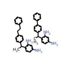 CC(c1ccc(-c2ccccc2)cc1)c1ccc(N)cc1N.CC(c1ccc(CCc2ccccc2)cc1)c1ccc(N)cc1N